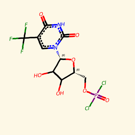 O=c1[nH]c(=O)n([C@@H]2O[C@H](COP(=O)(Cl)Cl)C(O)C2O)cc1C(F)(F)F